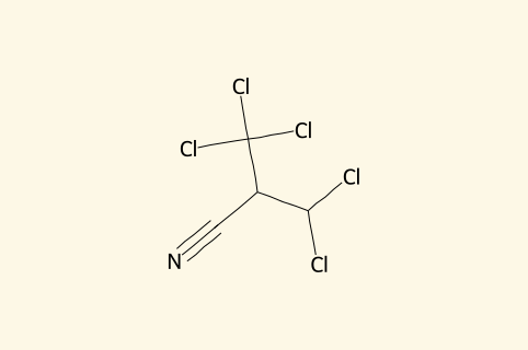 N#CC(C(Cl)Cl)C(Cl)(Cl)Cl